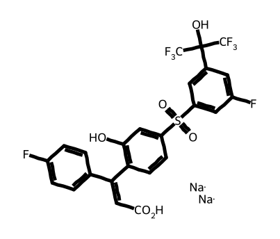 O=C(O)C=C(c1ccc(F)cc1)c1ccc(S(=O)(=O)c2cc(F)cc(C(O)(C(F)(F)F)C(F)(F)F)c2)cc1O.[Na].[Na]